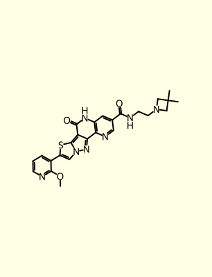 COc1ncccc1-c1cn2nc3c4ncc(C(=O)NCCN5CC(C)(C)C5)cc4[nH]c(=O)c3c2s1